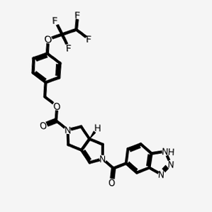 O=C(c1ccc2[nH]nnc2c1)N1C=C2CN(C(=O)OCc3ccc(OC(F)(F)C(F)F)cc3)C[C@@H]2C1